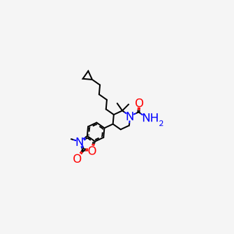 Cn1c(=O)oc2cc(C3CCN(C(N)=O)C(C)(C)C3CCCCC3CC3)ccc21